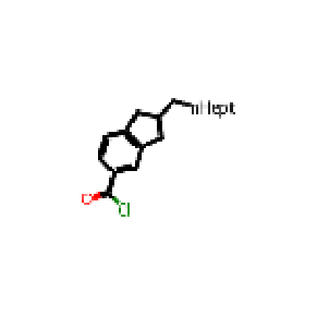 CCCCCCCCC1Cc2ccc(C(=O)Cl)cc2C1